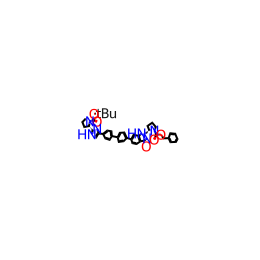 CC(C)(C)OC(=O)N1CCC[C@H]1c1nc(-c2ccc(-c3ccc(-c4ccc5c(=O)nc([C@@H]6CCCN6C(=O)OCc6ccccc6)[nH]c5c4)cc3)cc2)c[nH]1